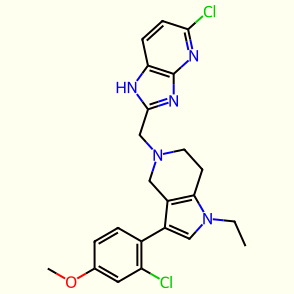 CCn1cc(-c2ccc(OC)cc2Cl)c2c1CCN(Cc1nc3nc(Cl)ccc3[nH]1)C2